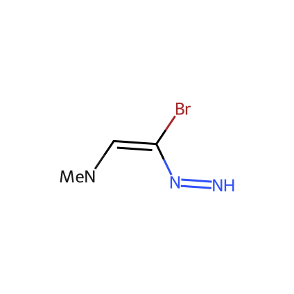 CN/C=C(/Br)N=N